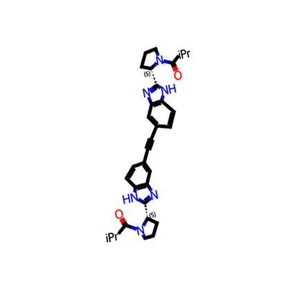 CC(C)C(=O)N1CCC[C@H]1c1nc2cc(C#Cc3ccc4[nH]c([C@@H]5CCCN5C(=O)C(C)C)nc4c3)ccc2[nH]1